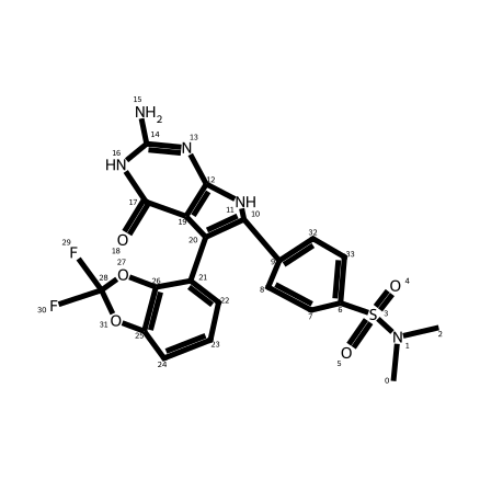 CN(C)S(=O)(=O)c1ccc(-c2[nH]c3nc(N)[nH]c(=O)c3c2-c2cccc3c2OC(F)(F)O3)cc1